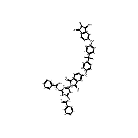 CC1C(=O)c2ccc(Oc3ccc(C(C)(C)c4ccc(Oc5ccc6c(c5)C(=O)N(c5nc(OC(=O)c7ccccc7)nc(OC(=O)c7ccccc7)n5)C6=O)cc4)cc3)cc2C1=O